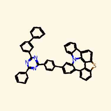 c1ccc(-c2cccc(-c3nc(-c4ccccc4)nc(-c4ccc(-c5ccc6c7cccc8sc9ccc%10c%11ccccc%11n(c6c5)c%10c9c87)cc4)n3)c2)cc1